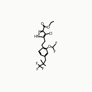 CCOC(=O)c1n[nH]c(CCc2ccc(CC(C)(C)C(F)(F)F)cc2OC(F)F)c1Cl